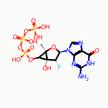 C[C@]12O[C@@H](n3cnc4c(=O)[nH]c(N)nc43)[C@H](F)[C@@]1(O)C2OP(=O)(O)OP(=O)(O)OP(=O)(O)O